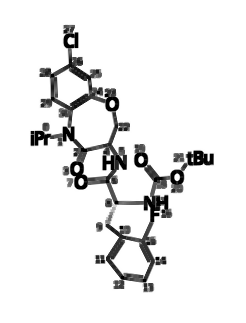 CC(C)N1C(=O)C(NC(=O)[C@@H](Cc2ccccc2F)NC(=O)OC(C)(C)C)COc2cc(Cl)ccc21